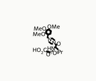 COc1ccc(CN2CCN(C(=O)C(CC(C)C)NC(=O)[C@@H]3O[C@H]3C(=O)O)CC2)c(OC)c1OC